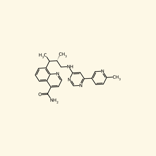 Cc1ccc(-c2cc(NC[C@@H](C)C(C)c3cccc4c(C(N)=O)ccnc34)ncn2)cn1